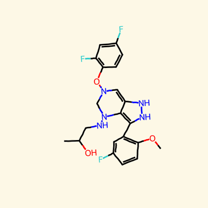 COc1ccc(F)cc1C1=C2C(=CN(Oc3ccc(F)cc3F)CN2NCC(C)O)NN1